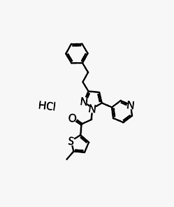 Cc1ccc(C(=O)Cn2nc(CCc3ccccc3)cc2-c2cccnc2)s1.Cl